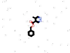 Cc1cnncc1C(=O)OCc1ccccc1